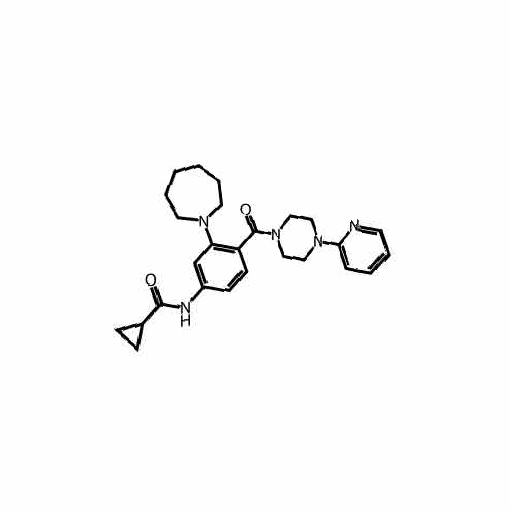 O=C(Nc1ccc(C(=O)N2CCN(c3ccccn3)CC2)c(N2CCCCCC2)c1)C1CC1